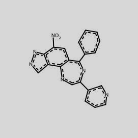 O=[N+]([O-])c1cc2c(-c3ccccc3)nc(-c3cccnc3)cnc2c2cnnc12